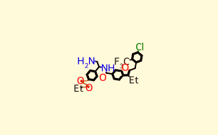 CCc1c(Cc2ccc(Cl)cc2C(F)(F)F)oc2cc(C(=O)NC(CN)c3ccc(S(=O)(=O)CC)cc3)ccc12